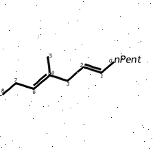 CCCCC/C=C/C/C(C)=C/CBr